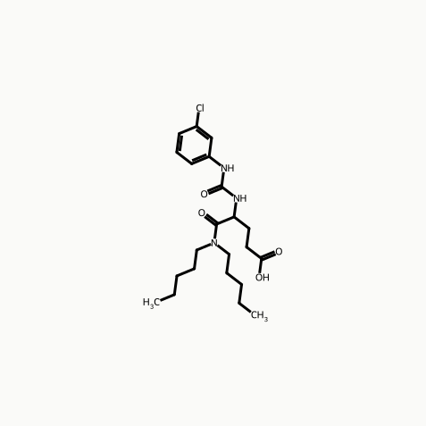 CCCCCN(CCCCC)C(=O)C(CCC(=O)O)NC(=O)Nc1cccc(Cl)c1